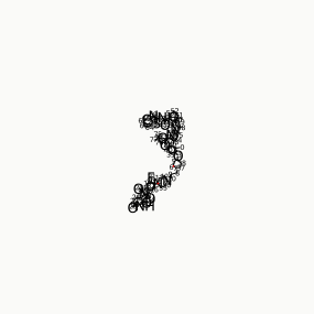 Cc1c(O[C@H]2CC[C@H](CCCN3CCN(c4cc5c(cc4F)C(=O)N(C4CCC(=O)NC4=O)C5=O)CC3)CC2)cccc1-c1ccc(N2CCc3cccc(C(=O)Nc4nc5ccccc5s4)c3C2)nc1C(=O)OC(C)(C)C